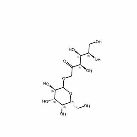 O=C(COC1O[C@H](CO)[C@H](O)[C@H](O)[C@H]1O)[C@H](O)[C@@H](O)[C@H](O)CO